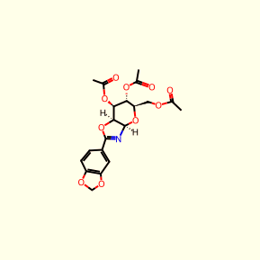 CC(=O)OC[C@H]1O[C@H]2N=C(c3ccc4c(c3)OCO4)O[C@H]2[C@@H](OC(C)=O)[C@@H]1OC(C)=O